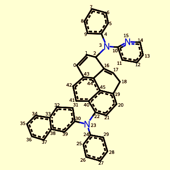 C1=CC(N(c2ccccc2)c2ccccn2)C2=CCc3ccc(N(c4ccccc4)c4ccc5ccccc5c4)c4ccc1c2c34